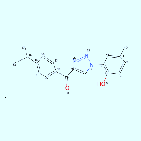 Cc1ccc(O)c(-n2cc(C(=O)c3ccc(C(C)C)cc3)nn2)c1